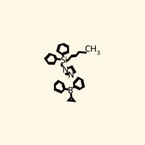 CCCC=CC[Si](Cn1ccnc1)(c1ccccc1)c1ccccc1.c1ccc(B(c2ccccc2)C2CC2)cc1